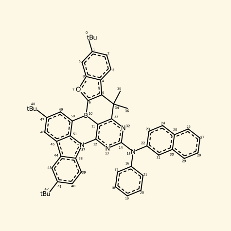 CC(C)(C)c1ccc2c3c(oc2c1)B1c2c(nc(N(c4ccccc4)c4ccc5ccccc5c4)nc2C3(C)C)-n2c3ccc(C(C)(C)C)cc3c3cc(C(C)(C)C)cc1c32